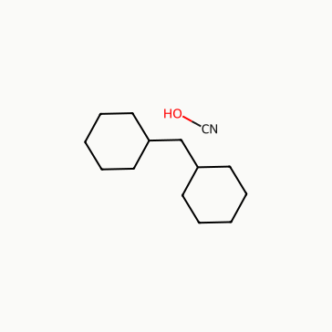 C1CCC(CC2CCCCC2)CC1.N#CO